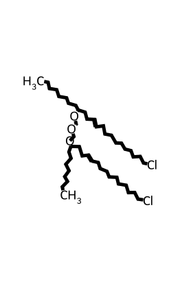 CCCCCCCCC(CCC=CCCCCCCCCCCCl)OCOCOC(CCC=CCCCCCCCCCCCl)CCCCCCCC